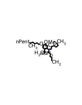 C=CCCCC(CCC)/C(=C/C(=C)C1CCC(C)O1)c1cc(OC)c(OCCCCC(C)CCCCC)cc1C(=C)C